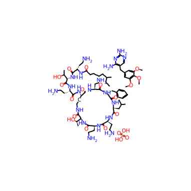 CCC(C)CCCCC(=O)N[C@@H](CCN)C(=O)N[C@H](C(=O)N[C@@H](CCN)C(=O)N[C@H]1CCNC(=O)[C@H]([C@@H](C)O)NC(=O)[C@H](CCN)NC(=O)[C@H](CCN)NC(=O)[C@H](CC(C)C)NC(=O)[C@@H](Cc2ccccc2)NC(=O)[C@H](CCN)NC1=O)C(C)O.COc1cc(Cc2cnc(N)nc2N)cc(OC)c1OC.O=S(=O)(O)O